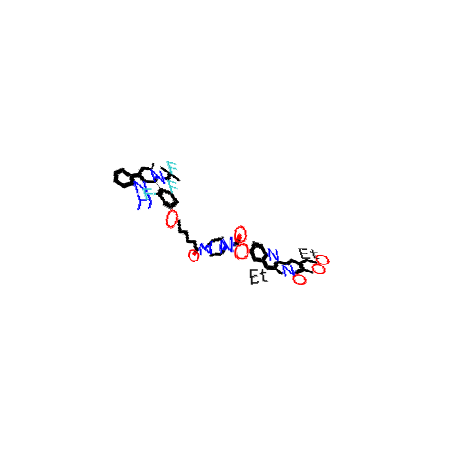 CCc1c2c(nc3ccc(OC(=O)N4CCN(C(=O)CCCCCOc5cc(F)c([C@@H]6c7[nH]c8ccccc8c7C[C@@H](C)N6CC(C)(C)F)c(F)c5)CC4)cc13)-c1cc3c(c(=O)n1C2)COC(=O)[C@@H]3CC